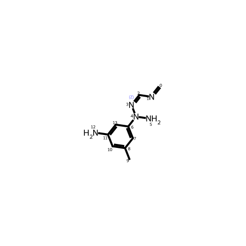 C=N/C=N\N(N)c1cc(C)cc(N)c1